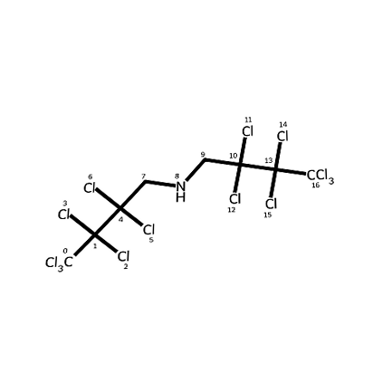 ClC(Cl)(Cl)C(Cl)(Cl)C(Cl)(Cl)CNCC(Cl)(Cl)C(Cl)(Cl)C(Cl)(Cl)Cl